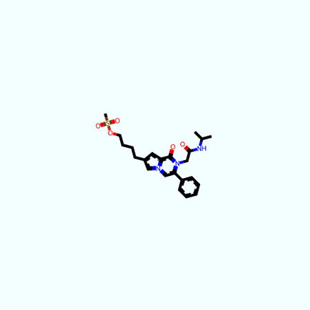 CC(C)NC(=O)Cn1c(-c2ccccc2)cn2cc(CCCCOS(C)(=O)=O)cc2c1=O